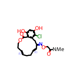 CNC(=O)CON=C1/C=C/CC/C=C/CCOC(=O)c2c(O)cc(O)c(Cl)c2C1